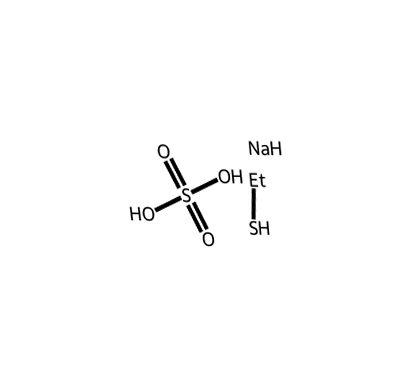 CCS.O=S(=O)(O)O.[NaH]